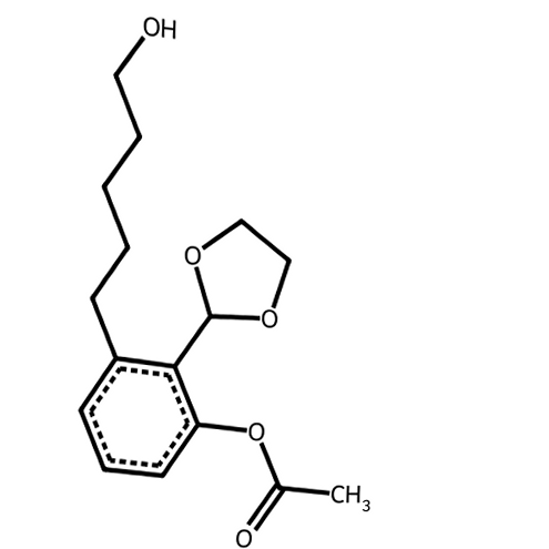 CC(=O)Oc1cccc(CCCCCO)c1C1OCCO1